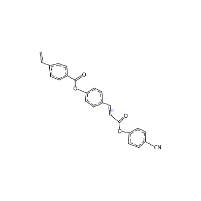 C=Cc1ccc(C(=O)Oc2ccc(/C=C/C(=O)Oc3ccc(C#N)cc3)cc2)cc1